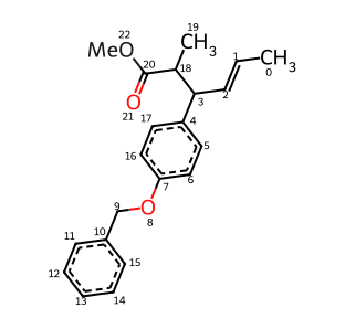 CC=CC(c1ccc(OCc2ccccc2)cc1)C(C)C(=O)OC